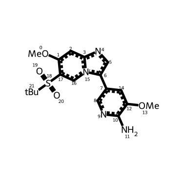 COc1cc2ncc(-c3cnc(N)c(OC)c3)n2cc1S(=O)(=O)C(C)(C)C